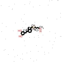 C=C1C(=CC=C2CCC[C@]3(C)[C@@H]([C@H](C)SCCCC(C)(C)O)CC[C@@H]23)C[C@@H](O)C[C@@H]1O